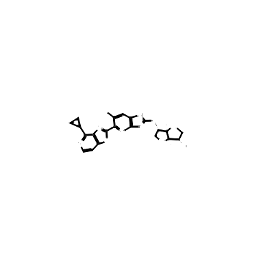 O[C@@H]1CO[C@H]2[C@@H]1OC[C@H]2Oc1nc2nc(-c3nc4c(C5CC5)nccc4s3)c(Cl)cc2[nH]1